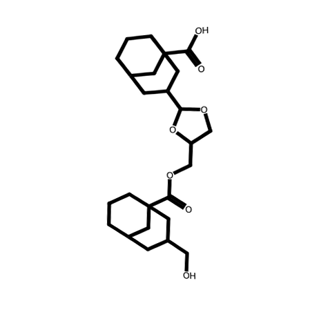 O=C(O)C12CCCC(CC(C3OCC(COC(=O)C45CCCC(CC(CO)C4)C5)O3)C1)C2